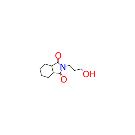 O=C1C2CCCCC2C(=O)N1CCCO